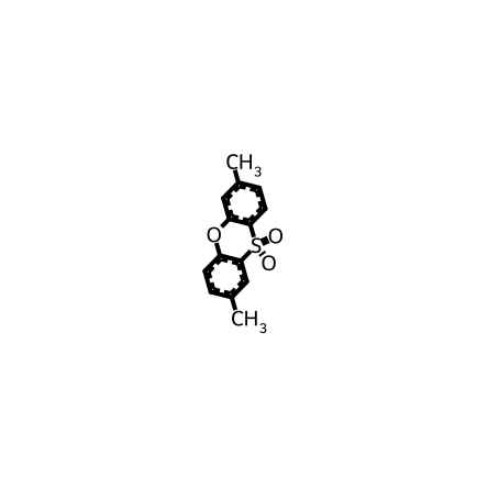 Cc1ccc2c(c1)Oc1ccc(C)cc1S2(=O)=O